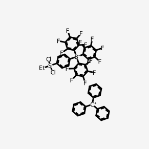 CC[Si](Cl)(Cl)c1ccc([B-](c2c(F)c(F)c(F)c(F)c2F)(c2c(F)c(F)c(F)c(F)c2F)c2c(F)c(F)c(F)c(F)c2F)cc1.c1ccc([C+](c2ccccc2)c2ccccc2)cc1